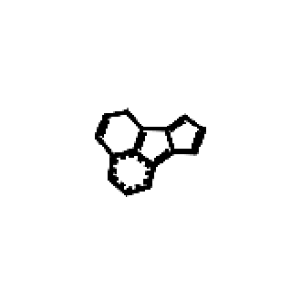 [CH]1C=Cc2cccc3c2=C1C1=CC=CC=31